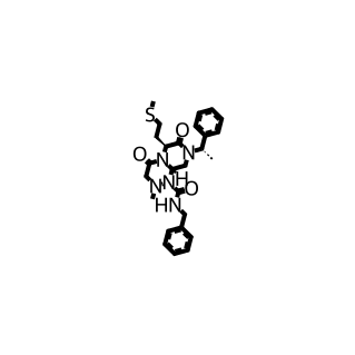 CSCC[C@H]1C(=O)N([C@@H](C)c2ccccc2)C[C@H]2N1C(=O)CN(C)N2C(=O)NCc1ccccc1